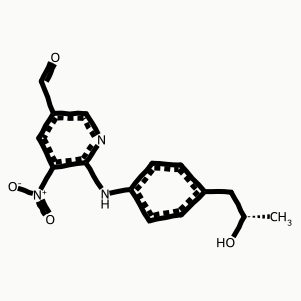 C[C@H](O)Cc1ccc(Nc2ncc(C=O)cc2[N+](=O)[O-])cc1